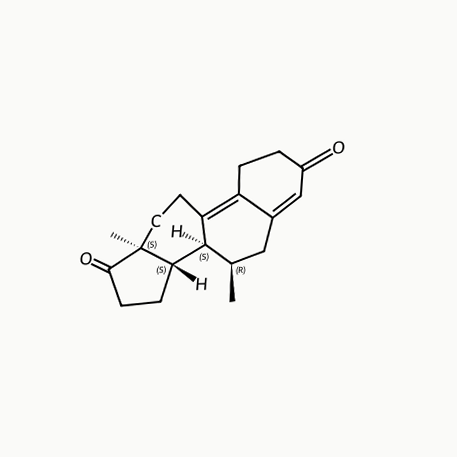 C[C@@H]1CC2=CC(=O)CCC2=C2CC[C@]3(C)C(=O)CC[C@H]3[C@@H]21